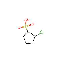 O=S(=O)(O)C1CCCC1Cl